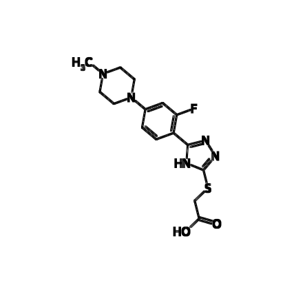 CN1CCN(c2ccc(-c3nnc(SCC(=O)O)[nH]3)c(F)c2)CC1